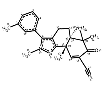 Cc1cccc(-c2c3c(nn2C)[C@@]2(C)C=C(C#N)C(=O)C(C)(C)[C@@H]2CC3)c1